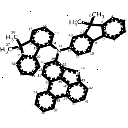 CC1(C)c2ccccc2-c2ccc(N(c3cccc4c3-c3ccccc3C4(C)C)c3ccc4c5ccccc5c5cccc6sc3c4c65)cc21